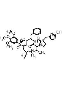 COc1cc(S(=O)(=O)N(CC(C)C)C[C@H](O)[C@H](Cc2ccccc2)NC(=O)[C@H](C(C)C)N2CCN(Cc3csc(C)n3)C2=O)cc(OC)c1OC